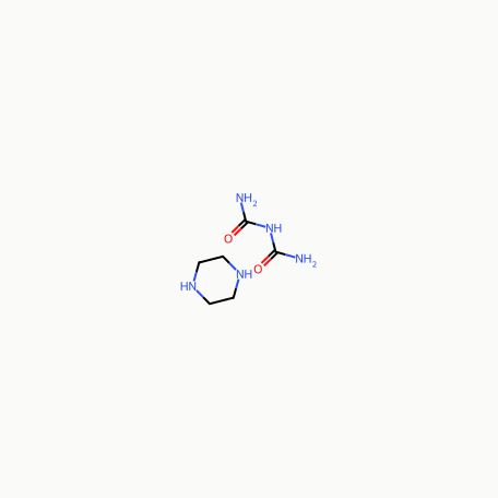 C1CNCCN1.NC(=O)NC(N)=O